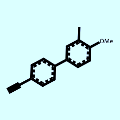 C#Cc1ccc(-c2ccc(OC)c(C)c2)cc1